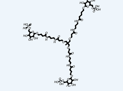 CC(COCCC(=O)NCCCNC(=O)CCCCOC1OC(COP(=O)(O)O)C(O)C(O)C1O)(COCCC(=O)NCCCNC(=O)CCCOC1OC(COP(=O)(O)O)C(O)C(O)C1O)COCCC(=O)NCCCNC(=O)CCCOC1OC(COP(=O)(O)O)C(O)C(O)C1O